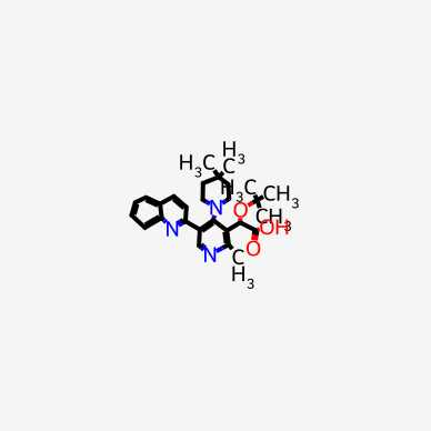 Cc1ncc(-c2ccc3ccccc3n2)c(N2CCC(C)(C)CC2)c1C(OC(C)(C)C)C(=O)O